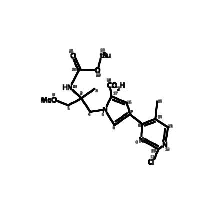 COCC(C)(Cn1cc(-c2nc(Cl)ncc2C)cc1C(=O)O)NC(=O)OC(C)(C)C